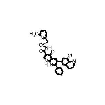 Cc1cccc(C[S+]([O-])NC(=O)c2c[nH]c3nc(-c4ccccc4)c(-c4cc(Cl)c5ncccc5c4)cc3c2=O)n1